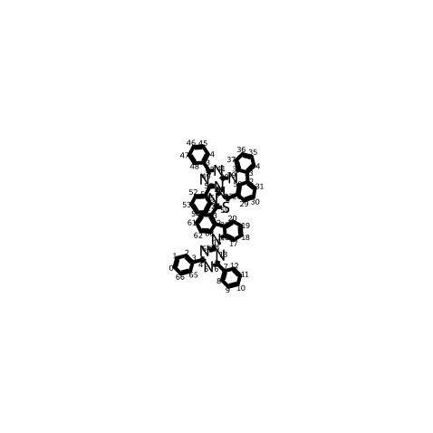 c1ccc(-c2nc(-c3ccccc3)nc(-n3c4ccccc4c4c(-c5nnc(-c6cccc7c8ccccc8n(-c8nc(-c9ccccc9)nc(-c9ccccc9)n8)c67)s5)cccc43)n2)cc1